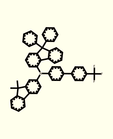 CC1(C)c2ccccc2-c2ccc(N(c3ccc(-c4ccc(C(F)(F)F)cc4)cc3)c3cccc4c3-c3ccccc3C4(c3ccccc3)c3ccccc3)cc21